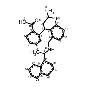 CC1CC(c2ccccc2C(=O)O)c2c(CN[C@H](C)c3cccc4ccccc34)cccc2O1